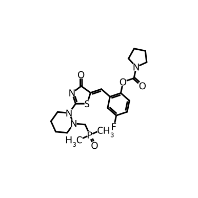 CP(C)(=O)CN1CCCCN1C1=NC(=O)/C(=C/c2cc(F)ccc2OC(=O)N2CCCC2)S1